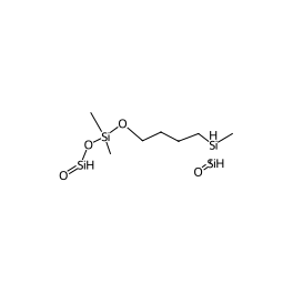 C[SiH](CCCCO[Si](C)(C)O[SiH]=O)[SiH]=O